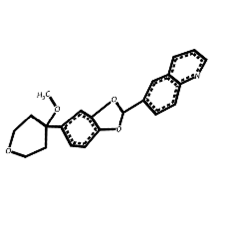 COC1(c2ccc3c(c2)OC(c2ccc4ncccc4c2)O3)CCOCC1